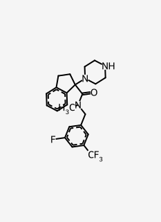 CN(Cc1cc(F)cc(C(F)(F)F)c1)C(=O)C1(N2CCNCC2)CCc2ccccc21